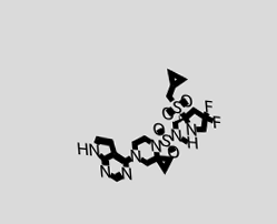 CN(C[C@@]1(S(=O)(=O)CC2CC2)CC(F)(F)CN1)S(=O)(=O)N1CCN(c2ncnc3[nH]ccc23)CC12CC2